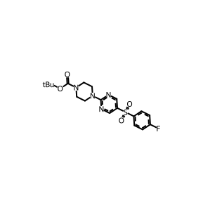 CC(C)(C)OC(=O)N1CCN(c2ncc(S(=O)(=O)c3ccc(F)cc3)cn2)CC1